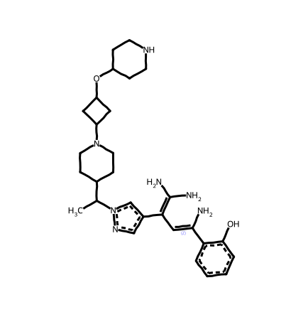 CC(C1CCN(C2CC(OC3CCNCC3)C2)CC1)n1cc(C(/C=C(\N)c2ccccc2O)=C(N)N)cn1